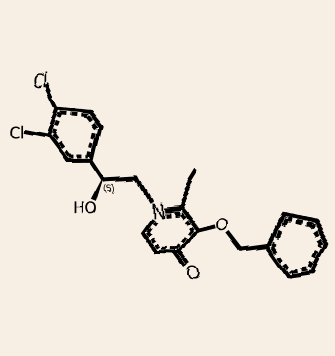 Cc1c(OCc2ccccc2)c(=O)ccn1C[C@@H](O)c1ccc(Cl)c(Cl)c1